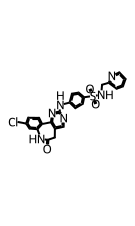 O=C1Cc2cnc(Nc3ccc(S(=O)(=O)NCc4ccccn4)cc3)nc2-c2ccc(Cl)cc2N1